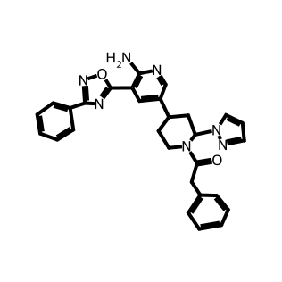 Nc1ncc(C2CCN(C(=O)Cc3ccccc3)C(n3cccn3)C2)cc1-c1nc(-c2ccccc2)no1